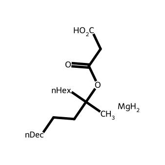 CCCCCCCCCCCCC(C)(CCCCCC)OC(=O)CC(=O)O.[MgH2]